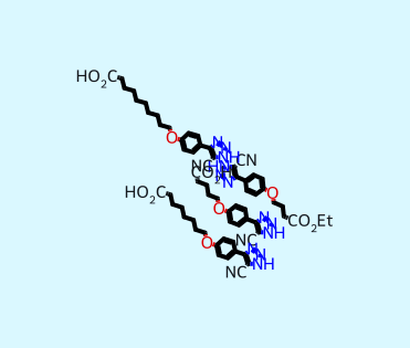 CCOC(=O)CCCOc1ccc(-c2nn[nH]c2C#N)cc1.N#Cc1[nH]nnc1-c1ccc(OCCCCC(=O)O)cc1.N#Cc1[nH]nnc1-c1ccc(OCCCCCCCC(=O)O)cc1.N#Cc1[nH]nnc1-c1ccc(OCCCCCCCCCC(=O)O)cc1